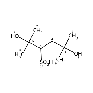 CC(C)(O)CC(C(C)(C)O)S(=O)(=O)O